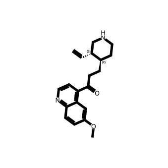 C=C[C@@H]1CNCC[C@H]1CCC(=O)c1ccnc2ccc(OC)cc12